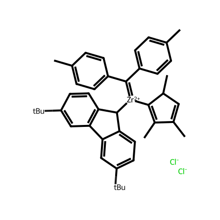 CC1=CC(C)[C]([Zr+2](=[C](c2ccc(C)cc2)c2ccc(C)cc2)[CH]2c3ccc(C(C)(C)C)cc3-c3cc(C(C)(C)C)ccc32)=C1C.[Cl-].[Cl-]